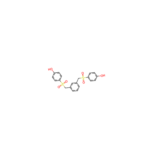 O=S(=O)(Cc1cccc(CS(=O)(=O)c2ccc(O)cc2)c1)c1ccc(O)cc1